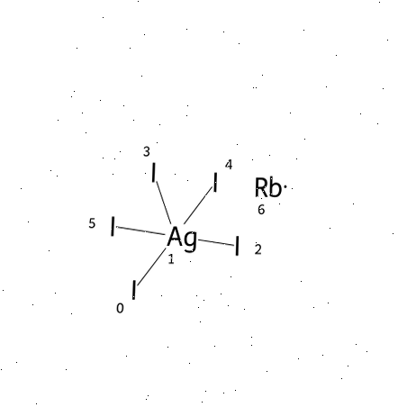 [I][Ag]([I])([I])([I])[I].[Rb]